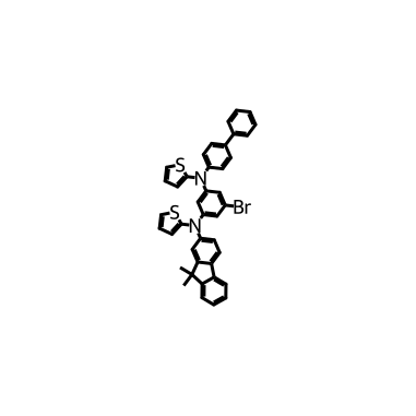 CC1(C)c2ccccc2-c2ccc(N(c3cc(Br)cc(N(c4ccc(-c5ccccc5)cc4)c4cccs4)c3)c3cccs3)cc21